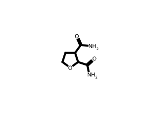 NC(=O)C1CCOC1C(N)=O